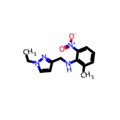 CCn1ccc(CNc2c(C)cccc2[N+](=O)[O-])n1